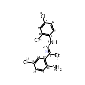 CC/C(=N\Nc1ccc(Cl)cc1Cl)c1cc(Cl)ccc1N